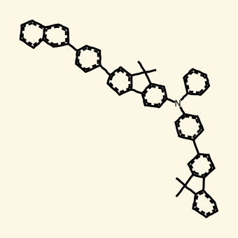 CC1(C)c2ccccc2-c2ccc(-c3ccc(N(c4ccccc4)c4ccc5c(c4)C(C)(C)c4cc(-c6ccc(-c7ccc8ccccc8c7)cc6)ccc4-5)cc3)cc21